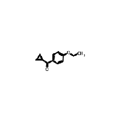 CCOc1ccc(C(=O)C2CC2)cc1